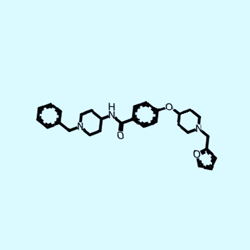 O=C(NC1CCN(Cc2ccccc2)CC1)c1ccc(OC2CCN(Cc3ccco3)CC2)cc1